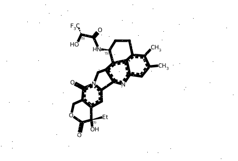 CC[C@@]1(O)C(=O)OCc2c1cc1n(c2=O)Cc2c-1nc1cc(C)c(C)c3c1c2[C@@H](NC(=O)[C@H](O)C(F)(F)F)CC3